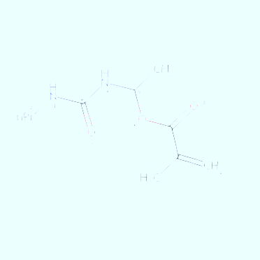 C=C(C)C(=O)OC(C)NC(=O)NCCC